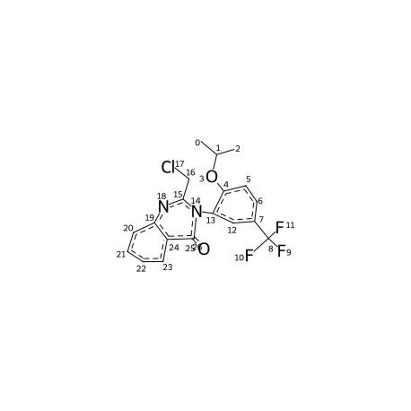 CC(C)Oc1ccc(C(F)(F)F)cc1-n1c(CCl)nc2ccccc2c1=O